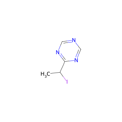 CC(I)c1ncncn1